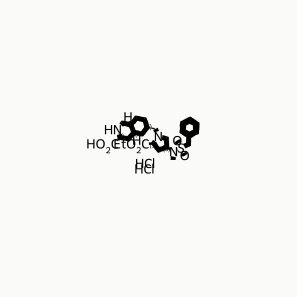 CCOC(=O)[C@@H]1C[C@H](N(C)S(=O)(=O)Cc2ccccc2)CN1C[C@H]1CC[C@H]2CN[C@H](C(=O)O)C[C@H]2C1.Cl.Cl